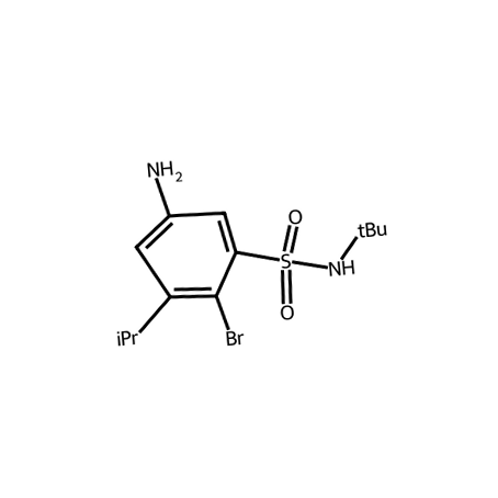 CC(C)c1cc(N)cc(S(=O)(=O)NC(C)(C)C)c1Br